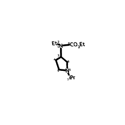 CCOC(=O)N(CC)C1CCN(C(C)C)C1